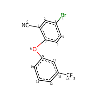 N#Cc1cc(Br)ccc1Oc1cccc(C(F)(F)F)c1